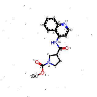 CC(C)(C)OC(=O)N1CCC(C(=O)Nc2ccnc3ccccc23)C1